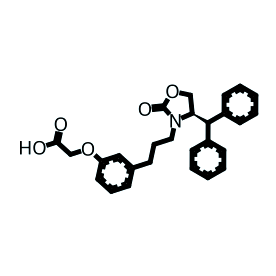 O=C(O)COc1cccc(CCCN2C(=O)OC[C@H]2C(c2ccccc2)c2ccccc2)c1